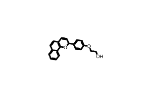 OCCOc1ccc(C2C=Cc3ccc4ccccc4c3O2)cc1